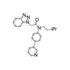 CC(C)CCN(C(=O)Cn1nnc2ccccc21)c1ccc(-c2cccnc2)cc1